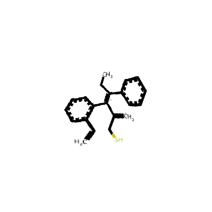 C=Cc1ccccc1/C(C(=C)CS)=C(\CC)c1ccccc1